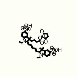 CCN1/C(=C/C=C/C=C/C2=[N+](CC)c3ccc(S(=O)(=O)O)cc3C2(C)C)C(C)(CCCC(=O)ON2C(=O)CCC2=O)c2cc(S(=O)(=O)O)ccc21